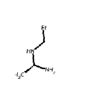 CCCN[C@H](C)N